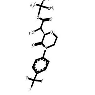 CC(C)(C)OC(=O)C(O)[C@H]1OCCN(c2ccc(C(F)(F)F)cc2)C1=O